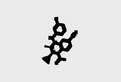 CC(=O)N1c2ccc(C#N)cc2[C@H](Nc2cccc(Cl)c2)[C@@H](C)[C@@H]1C1CC1